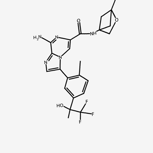 Cc1ccc(C(C)(O)C(F)(F)F)cc1-c1cnc2c(N)nc(C(=O)NC34COC(CO)(C3)C4)cn12